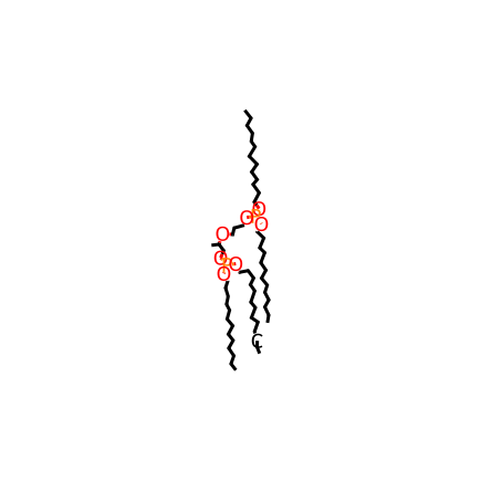 CCCCCCCCCCCCCOP(OCCCCCCCCCCCCC)OCCCOC(C)COP(OCCCCCCCCCCCCC)OCCCCCCCCCCCCC